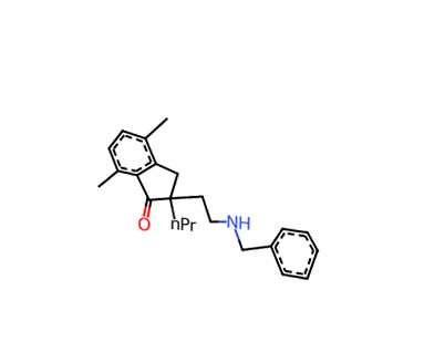 CCCC1(CCNCc2ccccc2)Cc2c(C)ccc(C)c2C1=O